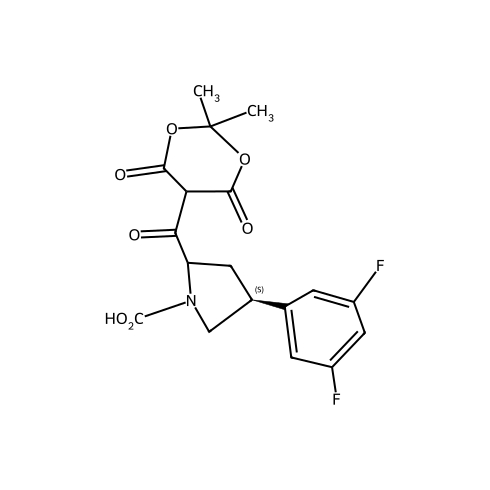 CC1(C)OC(=O)C(C(=O)C2C[C@@H](c3cc(F)cc(F)c3)CN2C(=O)O)C(=O)O1